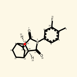 Cc1ccc(N2C(=O)[C@@H]3C4CCC(CC4=O)[C@@H]3C2=O)cc1F